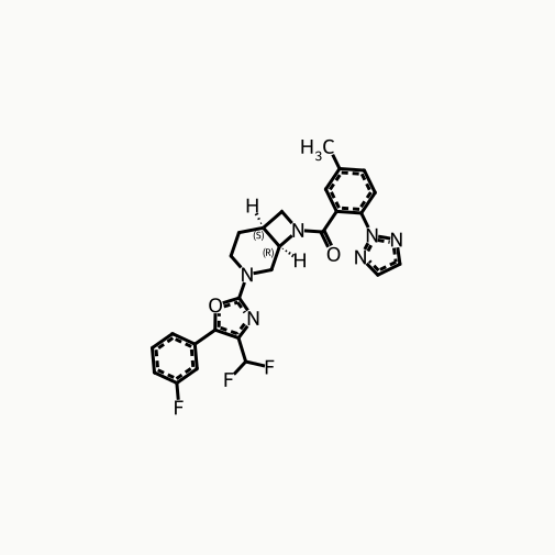 Cc1ccc(-n2nccn2)c(C(=O)N2C[C@@H]3CCN(c4nc(C(F)F)c(-c5cccc(F)c5)o4)C[C@@H]32)c1